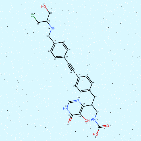 O=C(O)NCC(Cc1ccc(C#Cc2ccc(CNC(CO)CCl)cc2)cc1)c1nc[nH]c(=O)c1O